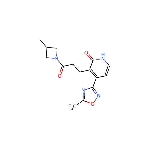 CC1CN(C(=O)CCc2c(-c3noc(C(F)(F)F)n3)cc[nH]c2=O)C1